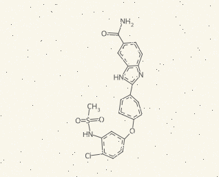 CS(=O)(=O)Nc1cc(Oc2ccc(-c3nc4ccc(C(N)=O)cc4[nH]3)cc2)ccc1Cl